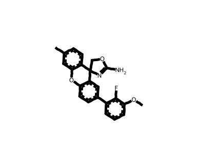 COc1cccc(-c2ccc3c(c2)C2(COC(N)=N2)c2ccc(C)cc2O3)c1F